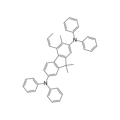 C/C=C\c1c(C)c(N(c2ccccc2)c2ccccc2)cc2c1-c1ccc(N(c3ccccc3)c3ccccc3)cc1C2(C)C